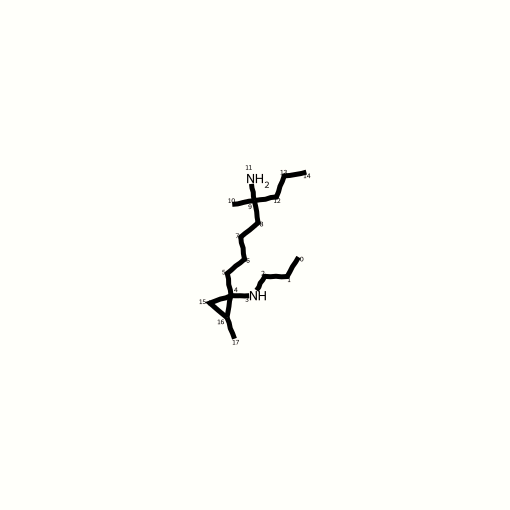 CCCNC1(CCCCC(C)(N)CCC)CC1C